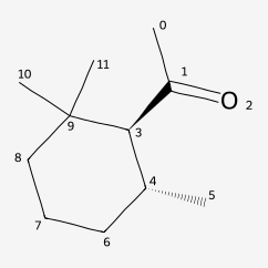 CC(=O)[C@H]1[C@H](C)CCCC1(C)C